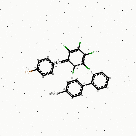 C=C1C(F)=C(F)C(F)=C(F)C1F.CCCCCc1ccc(-c2ccccc2)cc1.Sc1ccccc1